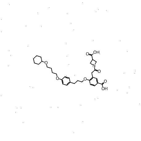 O=C(O)c1ccc(OCCCc2ccc(OCCCCOC3CCCCC3)cc2)c(CC(=O)N2CC(C(=O)O)C2)c1